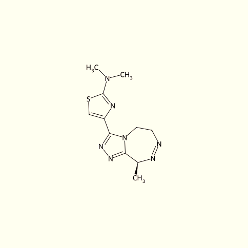 C[C@@H]1N=NCCn2c(-c3csc(N(C)C)n3)nnc21